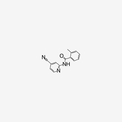 Cc1ccccc1C(=O)Nc1cc(C#N)ccn1